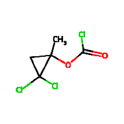 CC1(OC(=O)Cl)CC1(Cl)Cl